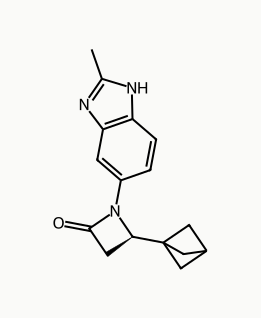 Cc1nc2cc(N3C(=O)C[C@@H]3C34CC(C3)C4)ccc2[nH]1